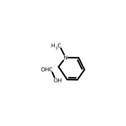 CN1C=CC=CC1.O=CO